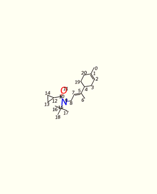 CC1=CCC(/C(C)=C/CN(C(=O)C2CC2)C(C)(C)C)CC1